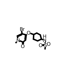 Cn1cc(Br)c(OC2CCC(NS(C)(=O)=O)CC2)cc1=O